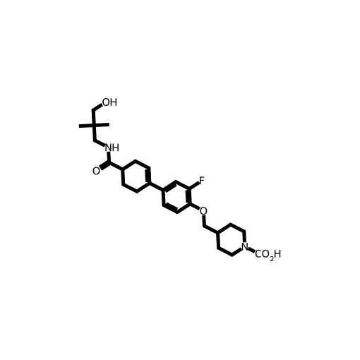 CC(C)(CO)CNC(=O)C1CC=C(c2ccc(OCC3CCN(C(=O)O)CC3)c(F)c2)CC1